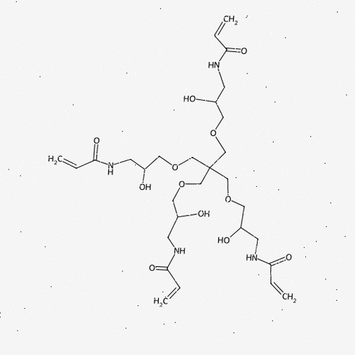 C=CC(=O)NCC(O)COCC(COCC(O)CNC(=O)C=C)(COCC(O)CNC(=O)C=C)COCC(O)CNC(=O)C=C